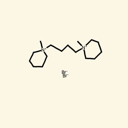 C[N+]1(CCCC[N+]2(C)CCCCC2)CCCCC1.[Br-].[Br-]